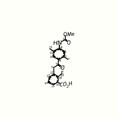 COC(=O)Nc1cc(C)c(C(=O)Cc2cccc(C(=O)O)c2F)cc1C